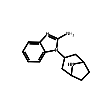 Nc1nc2ccccc2n1C1CC2CCC(C1)N2